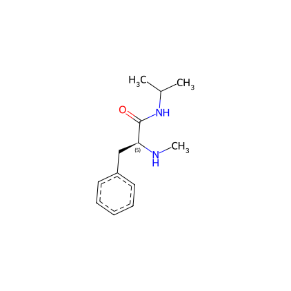 CN[C@@H](Cc1ccccc1)C(=O)NC(C)C